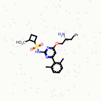 Cc1cccc(C)c1-c1cc(OC[C@H](N)CC(C)C)nc(NS(=O)(=O)C2CCC2C(=O)O)n1